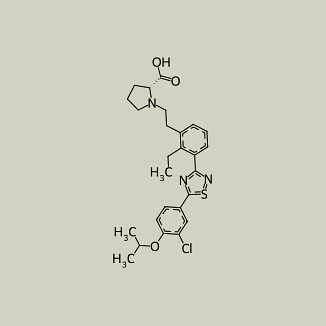 CCc1c(CCN2CCC[C@@H]2C(=O)O)cccc1-c1nsc(-c2ccc(OC(C)C)c(Cl)c2)n1